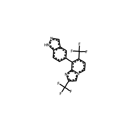 FC(F)(F)c1cn2ccc(C(F)(F)F)c(-c3ccc4[nH]ncc4c3)c2n1